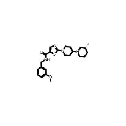 COc1cccc(CNC(=O)c2cnc(N3CCC(N4CCC[C@@H](C)C4)CC3)s2)c1